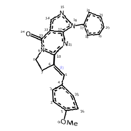 COc1ccc(/C=C2\CCn3c2nc2c(cnn2-c2ccccc2)c3=O)cc1